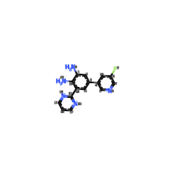 Nc1cc(-c2cncc(F)c2)cc(-c2ncccn2)c1N